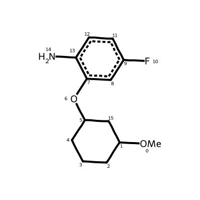 COC1CCCC(Oc2cc(F)ccc2N)C1